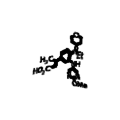 CCN(c1ccc(C(C)CC(=O)O)cc1Nc1cnc(OC)nc1)C1CCOCC1